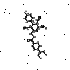 CCN(CC)c1ccc(C(=O)CSc2nc(N)c(C#N)c(-c3ccc(C)cc3)c2C#N)cc1